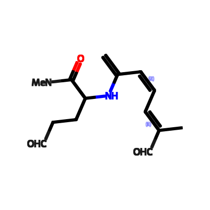 C=C(/C=C\C=C(/C)C=O)NC(CCC=O)C(=O)NC